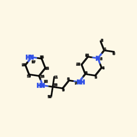 CC(C)N1CCC(NCCC(C)(C)NC2CCNCC2)CC1